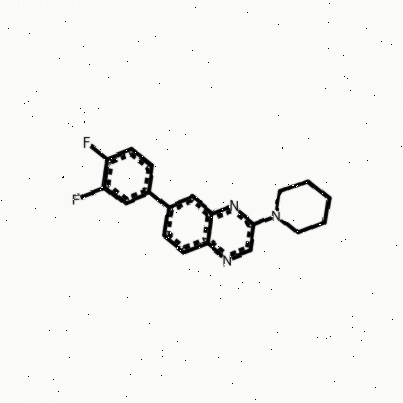 Fc1ccc(-c2ccc3ncc(N4CCCCC4)nc3c2)cc1F